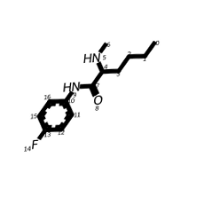 CCCCC(NC)C(=O)Nc1ccc(F)cc1